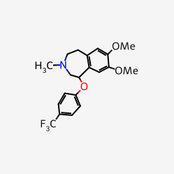 COc1cc2c(cc1OC)C(Oc1ccc(C(F)(F)F)cc1)CN(C)CC2